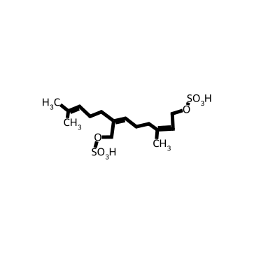 CC(C)=CCCC(=CCCC(C)=CCOS(=O)(=O)O)COS(=O)(=O)O